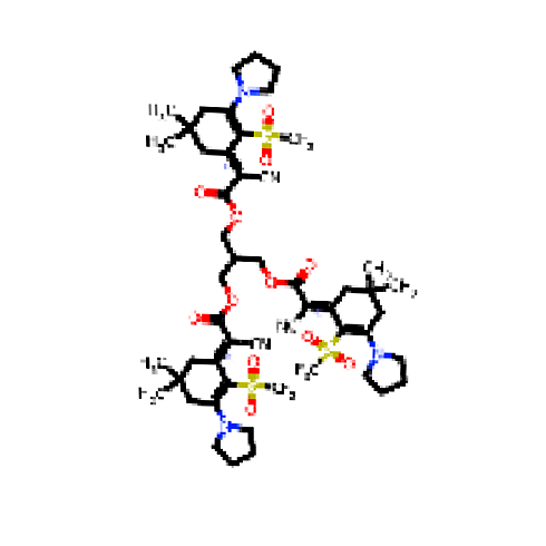 CC1(C)CC(N2CCCC2)=C(S(=O)(=O)C(F)(F)F)/C(=C(\C#N)C(=O)OCC(COC(=O)/C(C#N)=C2\CC(C)(C)CC(N3CCCC3)=C2S(=O)(=O)C(F)(F)F)COC(=O)/C(C#N)=C2\CC(C)(C)CC(N3CCCC3)=C2S(=O)(=O)C(F)(F)F)C1